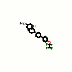 CCCCCCC1CC[C@@H]2C[C@H](c3ccc(-c4ccc(OC(F)(F)C(F)F)cc4)cc3)CC[C@@H]2C1